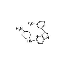 NC1CCC(Nc2ccc3ncc(-c4cccc(C(F)(F)F)c4)n3n2)CC1